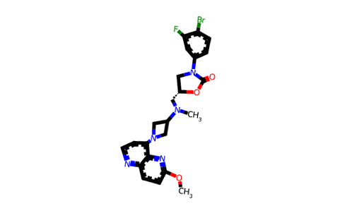 COc1ccc2nccc(N3CC(N(C)C[C@@H]4CN(c5ccc(Br)c(F)c5)C(=O)O4)C3)c2n1